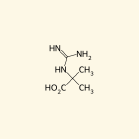 CC(C)(NC(=N)N)C(=O)O